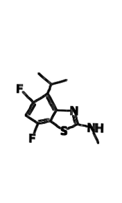 CNc1nc2c(C(C)C)c(F)cc(F)c2s1